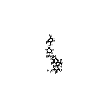 Cc1nc(-c2c(C(F)(F)F)ccc(CNC(=O)[C@H]3CC[C@H](OCc4ccc(Cl)cc4F)CC3)c2F)[nH]c(=O)c1F